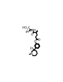 C=C(CCC(=O)Oc1cccc(C2(CC)CCCCN(C)C2)c1)C(=O)N[C@H](C(=O)O)C(C)C